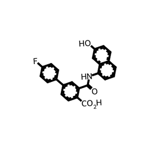 O=C(O)c1ccc(-c2ccc(F)cc2)cc1C(=O)Nc1cccc2ccc(O)cc12